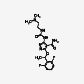 CC(Oc1nsc(NC(=O)NCCN(C)C)c1C(N)=O)c1c(F)cccc1F